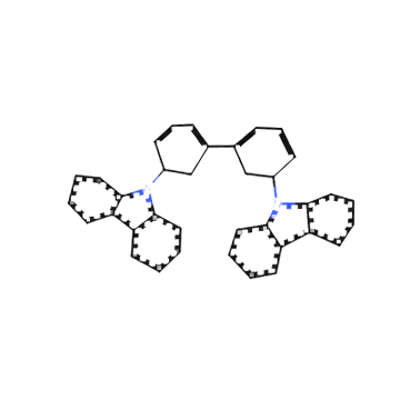 C1=CC(n2c3ccccc3c3ccccc32)CC(C2=CC=CC(n3c4ccccc4c4ccccc43)C2)=C1